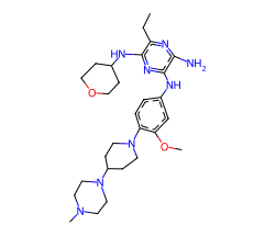 CCc1nc(N)c(Nc2ccc(N3CCC(N4CCN(C)CC4)CC3)c(OC)c2)nc1NC1CCOCC1